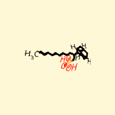 CCCCCCCCCCC(CP(=O)(O)O)C1[C@H]2C[C@@H]3C[C@@H](C[C@H]1C3)C2